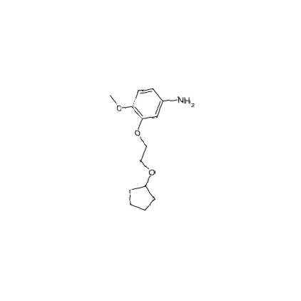 COc1ccc(N)cc1OCCOC1CCCC1